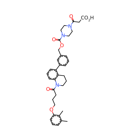 Cc1cccc(OCCCC(=O)N2CCCc3c(-c4cccc(COC(=O)N5CCN(C(=O)CC(=O)O)CC5)c4)cccc32)c1C